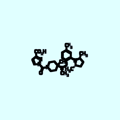 C[C@H]1CC[C@H](C)N1c1cc(C(F)(F)F)ccc1CN(C)C1(C)CCN(C(=O)n2ccc(C(=O)O)n2)CC1